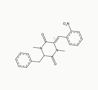 CN1C(=O)C(Cc2ccccc2)N(C)C(=O)/C1=C/c1ccccc1[N+](=O)[O-]